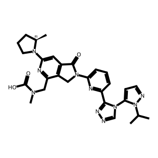 CC(C)n1nccc1-n1cnnc1-c1cccc(N2Cc3c(cc(N4CCC[C@H]4C)nc3CN(C)C(=O)O)C2=O)n1